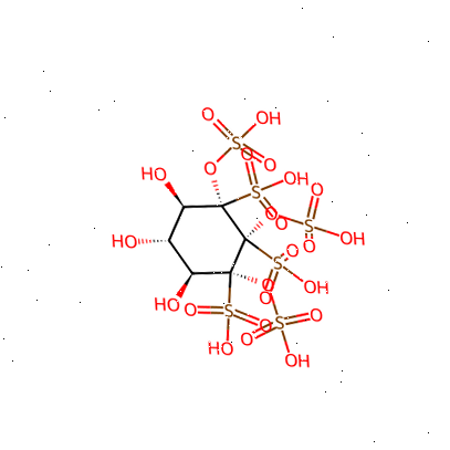 O=S(=O)(O)O[C@]1(S(=O)(=O)O)[C@@](OS(=O)(=O)O)(S(=O)(=O)O)[C@@H](O)[C@H](O)[C@@H](O)[C@@]1(OS(=O)(=O)O)S(=O)(=O)O